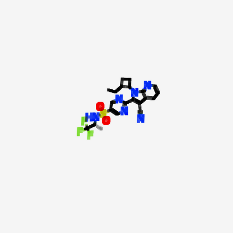 CCC1CCC1n1c(-c2ncc(S(=O)(=O)N[C@H](C)C(F)(F)F)cn2)c(C#N)c2cccnc21